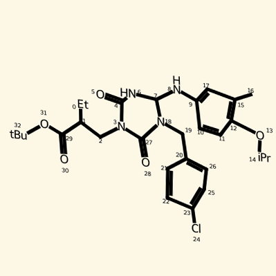 CCC(CN1C(=O)NC(Nc2ccc(OC(C)C)c(C)c2)N(Cc2ccc(Cl)cc2)C1=O)C(=O)OC(C)(C)C